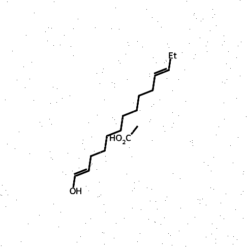 CC(=O)O.CC/C=C/CCCCCCCC/C=C/O